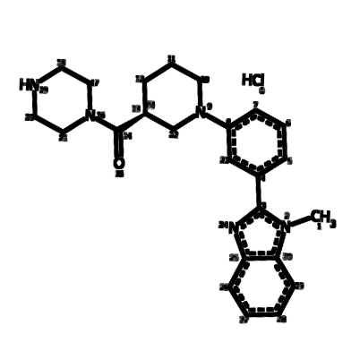 Cl.Cn1c(-c2cccc(N3CCC[C@H](C(=O)N4CCNCC4)C3)c2)nc2ccccc21